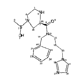 CB(O)N1CCN[C@@H](C(=O)N(CCCn2ccnc2)Cc2ccccc2)C1